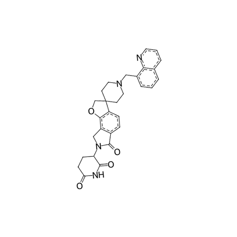 O=C1CCC(N2Cc3c(ccc4c3OCC43CCN(Cc4cccc5cccnc45)CC3)C2=O)C(=O)N1